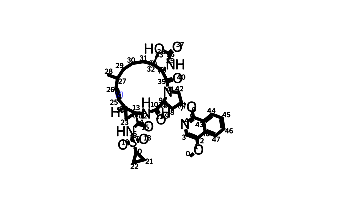 COc1cnc(O[C@@H]2C[C@H]3C(=O)N[C@]4(C(=O)NS(=O)(=O)C5CC5)C[C@H]4/C=C\C(C)CCC[C@@H](C)[C@H](NC(=O)O)C(=O)N3C2)c2ccccc12